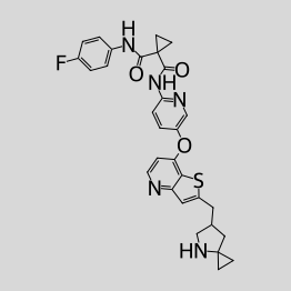 O=C(Nc1ccc(F)cc1)C1(C(=O)Nc2ccc(Oc3ccnc4cc(CC5CNC6(CC6)C5)sc34)cn2)CC1